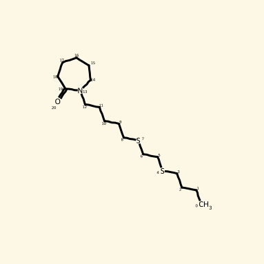 CCCCSCCSCCCCCN1CCCCCC1=O